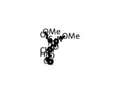 COC(=O)CCc1cnc([C@@H]2C[C@H](N3CC(OC)C3)CN2C(=O)Cc2cc(Cl)c(NC(=O)c3coc4ccccc34)cc2F)s1